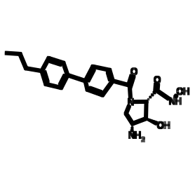 CCCc1ccc(-c2ccc(C(=O)N3C[C@@H](N)[C@H](O)[C@H]3C(=O)NO)cc2)cc1